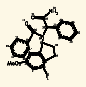 COc1cc(F)c2c(c1)[C@H](N(C(=O)c1ccccc1)C(C(N)=O)c1ccccc1)CC2